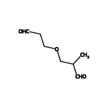 CC(C=O)COCCC=O